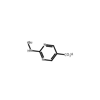 CC(C)(C)Nc1ncc(C(=O)O)cn1